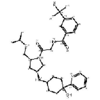 CC(C)OC[C@@H]1C[C@H](NC2CCC(O)(c3ccccn3)CC2)CN1C(=O)CNC(=O)c1cccc(C(F)(F)F)c1